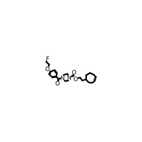 O=C(OCCC1CC/C=C\CCC1)N1CCN(C(=O)c2ccc(OCCF)cc2)CC1